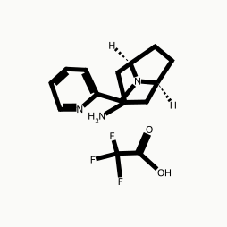 NC1C[C@H]2CC[C@@H](C1)N2Cc1ccccn1.O=C(O)C(F)(F)F